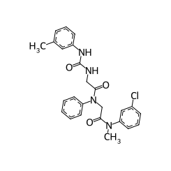 Cc1cccc(NC(=O)NCC(=O)N(CC(=O)N(C)c2cccc(Cl)c2)c2ccccc2)c1